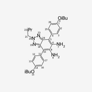 CC(C)COc1ccc(-c2c(N)c(N)c(-c3ccc(OCC(C)C)cc3)c3nn(CC(C)C)nc23)cc1